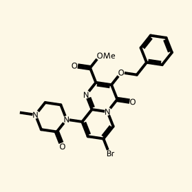 COC(=O)c1nc2c(N3CCN(C)CC3=O)cc(Br)cn2c(=O)c1OCc1ccccc1